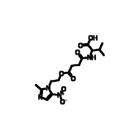 Cc1ncc([N+](=O)[O-])n1CCOC(=O)CCC(=O)NC(C(=O)O)C(C)C